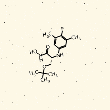 Cc1cc(N[C@H](COC(C)(C)C)C(=O)NO)cc(C)c1F